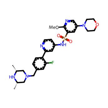 COc1ncc(N2CCOCC2)cc1S(=O)(=O)Nc1ccnc(-c2ccc(CN3C[C@@H](C)N[C@@H](C)C3)cc2F)c1